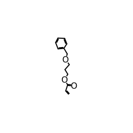 C=CC(=O)OCCCOCc1ccccc1